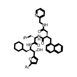 CC(=O)c1ccc([C@@H](O)[C@@H](CC2CCCCC2)NC(=O)[C@H](CC(C)C)NC(=O)[C@@H](CC(=O)NCc2ccccn2)Cc2cccc3ccccc23)o1